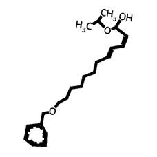 CC(C)OC(O)/C=C\C=CCCCCCCCOCc1ccccc1